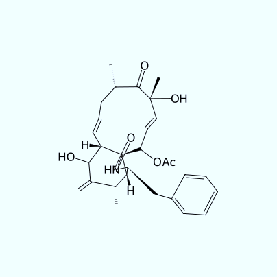 C=C1C(O)[C@@H]2/C=C/C[C@H](C)C(=O)[C@](C)(O)/C=C/C(OC(C)=O)[C@]23C(=O)N[C@@H](Cc2ccccc2)[C@@H]3[C@@H]1C